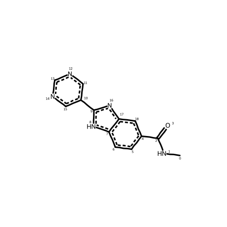 CNC(=O)c1ccc2[nH]c(-c3cncnc3)nc2c1